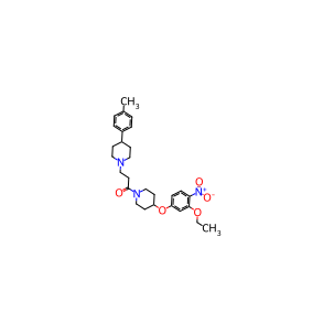 CCOc1cc(OC2CCN(C(=O)CCN3CCC(c4ccc(C)cc4)CC3)CC2)ccc1[N+](=O)[O-]